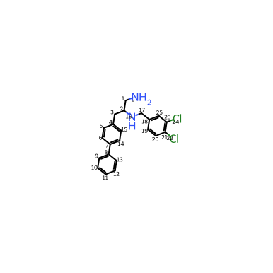 NCC(Cc1ccc(-c2ccccc2)cc1)NCc1ccc(Cl)c(Cl)c1